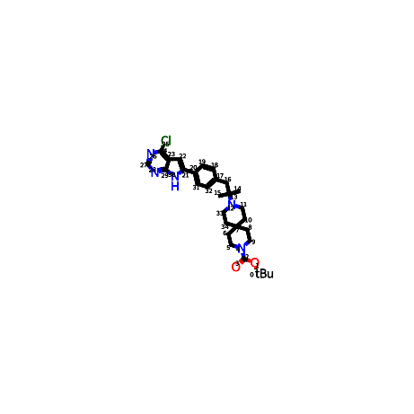 CC(C)(C)OC(=O)N1CCC2(CC1)CCN(C(C)(C)Cc1ccc(-c3cc4c(Cl)ncnc4[nH]3)cc1)CC2